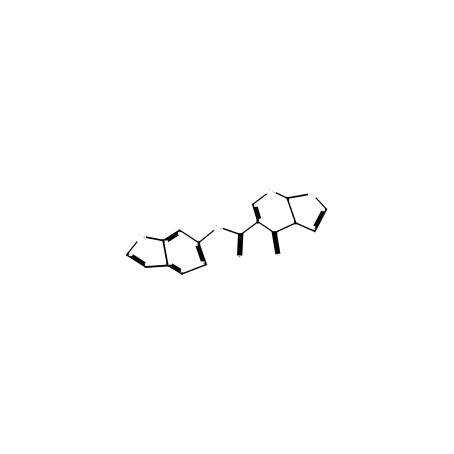 O=C(Nc1ccc2cc[nH]c2c1)C1=CNC2SC=CC2C1=O